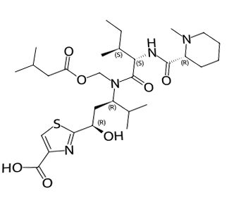 CC[C@H](C)[C@H](NC(=O)[C@H]1CCCCN1C)C(=O)N(COC(=O)CC(C)C)[C@H](C[C@@H](O)c1nc(C(=O)O)cs1)C(C)C